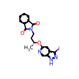 C[C@H](CCN1C(=O)c2ccccc2C1=O)Oc1cc2c(I)n[nH]c2cn1